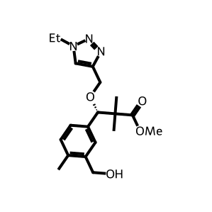 CCn1cc(CO[C@@H](c2ccc(C)c(CO)c2)C(C)(C)C(=O)OC)nn1